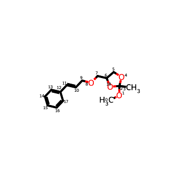 COC1(C)OCC(COCC=Cc2ccccc2)O1